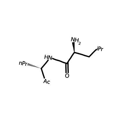 CCC[C@H](NC(=O)[C@@H](N)CC(C)C)C(C)=O